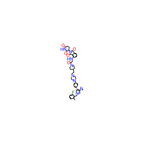 Cc1cccc(F)c1CN1C[C@H](c2ccc(N3CCN(CCC4CCN(C(=O)CNc5cccc6c5C(=O)N(C5CCC(=O)NC5=O)C6=O)CC4)CC3)cc2)[C@@H](N(C)C)C1